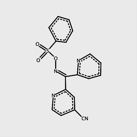 N#Cc1ccnc(C(=NOS(=O)(=O)c2ccccc2)c2ccccn2)c1